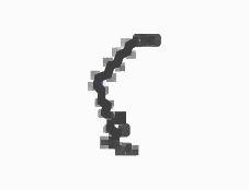 CCCCNC(=O)CNCCCC/C=C\CCCCCCC=O